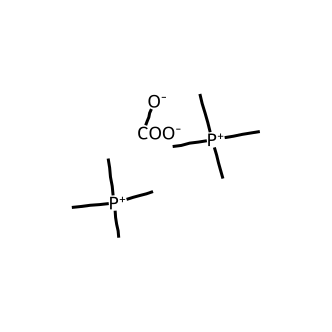 C[P+](C)(C)C.C[P+](C)(C)C.O=C([O-])[O-]